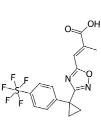 C/C(=C\c1nc(C2(c3ccc(S(F)(F)(F)(F)F)cc3)CC2)no1)C(=O)O